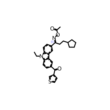 CCn1c2ccc(C(=O)c3ccsc3)cc2c2cc(/C(CCC3CCCC3)=N/OC(C)=O)ccc21